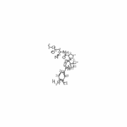 CCOC(=O)CC(C#N)NC(=O)C1CCCN1C(=O)C(NC(=O)c1ccc(N)c(Cl)c1)C(C)(C)C